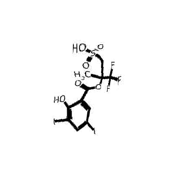 CC(CS(=O)(=O)O)(OC(=O)c1cc(I)cc(I)c1O)C(F)(F)F